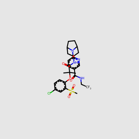 CC(C)(Oc1ccc(Cl)cc1S(C)(=O)=O)C(=O)NC1CC2CCC(C1)N2c1ccc(C(=O)NCC(F)(F)F)cn1